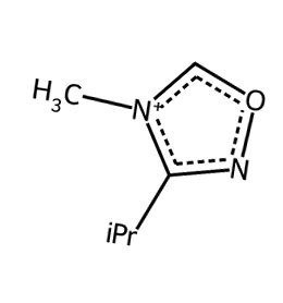 CC(C)c1noc[n+]1C